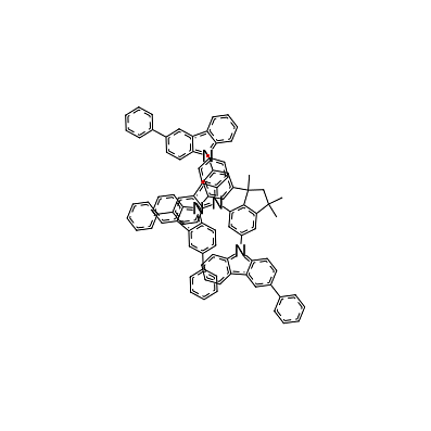 CC1(C)CC(C)(c2cc(-n3c4ccccc4c4cc(-c5ccccc5)ccc43)cc(-n3c4ccccc4c4cc(-c5ccccc5)ccc43)c2)c2c(-n3c4ccccc4c4cc(-c5ccccc5)ccc43)cc(-n3c4ccccc4c4cc(-c5ccccc5)ccc43)cc21